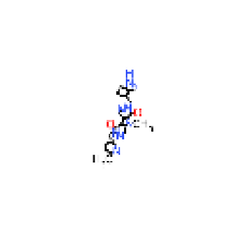 Cc1ccc(Cn2ncc3c(c2=O)c2cnn(Cc4cccc5[nH]ncc45)c(=O)c2n3C)cn1